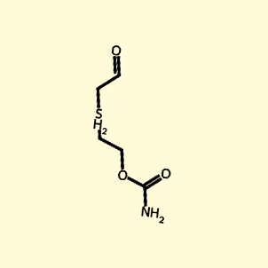 NC(=O)OCC[SH2]CC=O